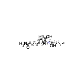 CCCCC[C@@H](O)/C=C/[C@@H]1[C@H]2CC(CCCCC(N)=O)=C[C@H]2C[C@H]1O